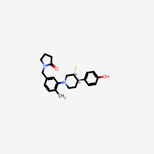 Cc1ccc(CN2CCCC2=O)cc1N1CC[C@H](c2ccc(O)cc2)[C@@H](F)C1